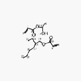 C=CC(=O)OC(C)O.C=CC(=O)OCC(CC)CCCC